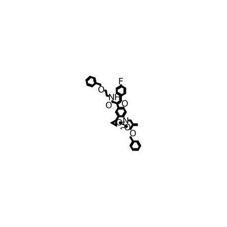 C=C(COCc1ccccc1)CN(c1cc2oc(-c3ccc(F)cc3)c(C(=O)NCCOCc3ccccc3)c2cc1C1CC1)S(C)(=O)=O